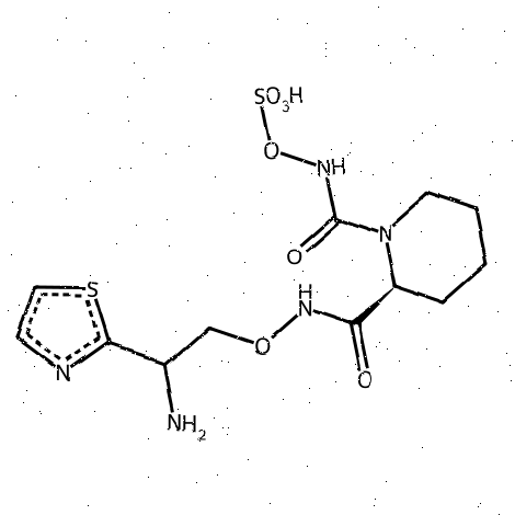 NC(CONC(=O)[C@@H]1CCCCN1C(=O)NOS(=O)(=O)O)c1nccs1